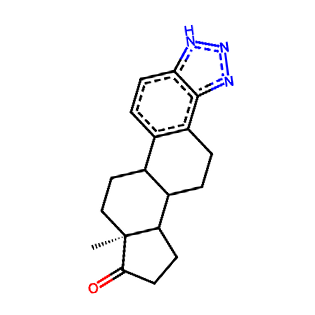 C[C@]12CCC3c4ccc5[nH]nnc5c4CCC3C1CCC2=O